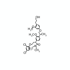 CCN(CC)C(=O)C(CCOc1ccc(Cl)cc1Cl)c1ccc(C(C)COc2ccc(CCCO)c(OC)c2)c(OC)c1